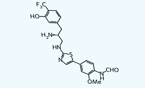 COc1cc(-c2cnc(NC[C@@H](N)Cc3ccc(C(F)(F)F)c(O)c3)s2)ccc1NC=O